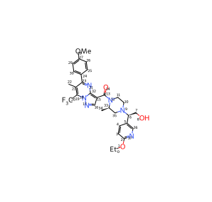 CCOc1ccc([C@H](CO)N2CCN(C(=O)c3cnn4c(C(F)(F)F)c(C)c(-c5ccc(OC)cc5)nc34)[C@H](C)C2)cn1